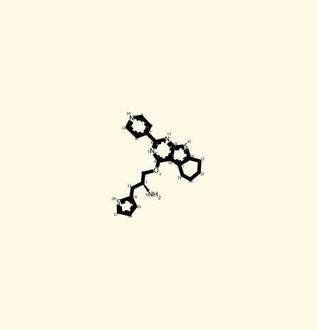 N[C@H](COc1nc(-c2ccncc2)nc2sc3c(c12)CCCC3)Cc1cccs1